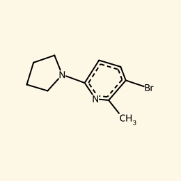 Cc1nc(N2CCCC2)ccc1Br